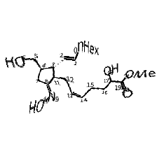 CCCCCC/C=C/[C@H]1[C@H](CO)CC(=NO)[C@@H]1C/C=C\CCC(O)C(=O)OC